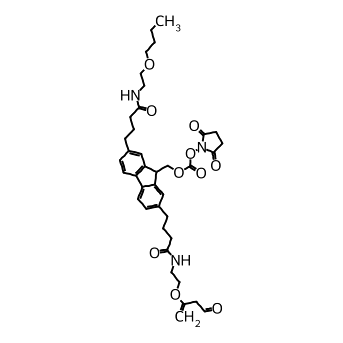 C=C(CC=O)OCCNC(=O)CCCc1ccc2c(c1)C(COC(=O)ON1C(=O)CCC1=O)c1cc(CCCC(=O)NCCOCCCC)ccc1-2